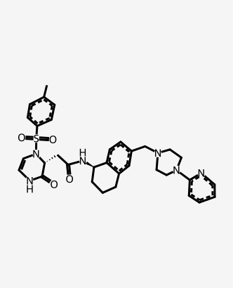 Cc1ccc(S(=O)(=O)N2C=CNC(=O)[C@H]2CC(=O)N[C@@H]2CCCc3cc(CN4CCN(c5ccccn5)CC4)ccc32)cc1